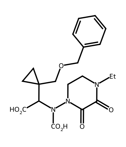 CCN1CCN(N(C(=O)O)C(C(=O)O)C2(COCc3ccccc3)CC2)C(=O)C1=O